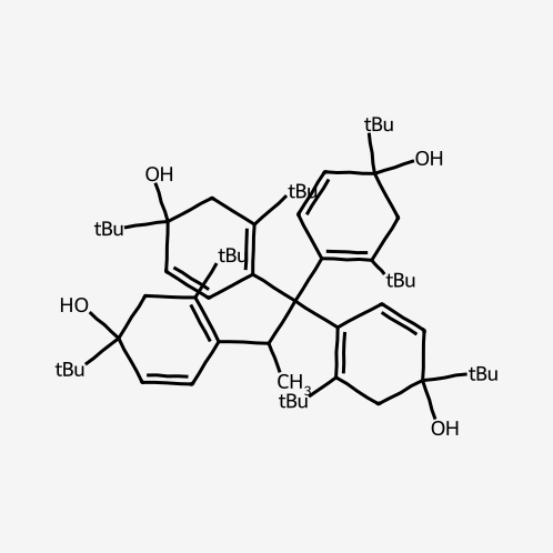 CC(C1=C(C(C)(C)C)CC(O)(C(C)(C)C)C=C1)C(C1=C(C(C)(C)C)CC(O)(C(C)(C)C)C=C1)(C1=C(C(C)(C)C)CC(O)(C(C)(C)C)C=C1)C1=C(C(C)(C)C)CC(O)(C(C)(C)C)C=C1